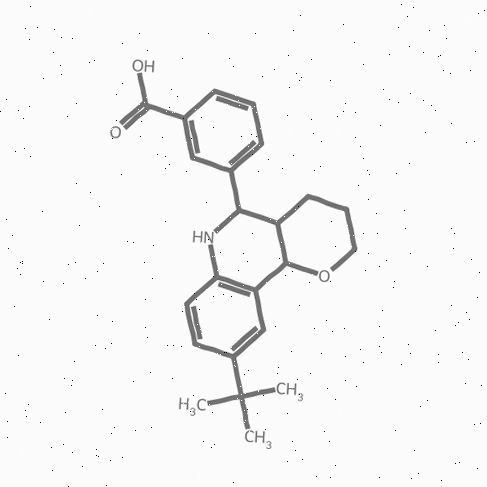 CC(C)(C)c1ccc2c(c1)C1OCCCC1C(c1cccc(C(=O)O)c1)N2